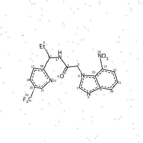 CCC(NC(=O)Cn1cnc2cccc([N+](=O)[O-])c21)c1ccc(C(F)(F)F)cn1